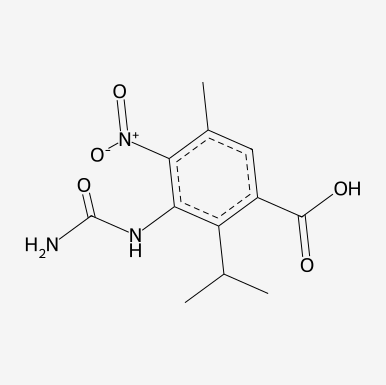 Cc1cc(C(=O)O)c(C(C)C)c(NC(N)=O)c1[N+](=O)[O-]